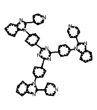 c1ccc2c(c1)nc(-c1ccncc1)n2-c1ccc(-c2nc(-c3ccc(-n4c(-c5ccncc5)nc5ccccc54)cc3)nc(-c3ccc(-n4c(-c5ccncc5)nc5ccccc54)cc3)n2)cc1